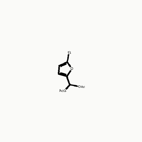 CCc1ccc(C(OC(C)=O)OC(C)=O)o1